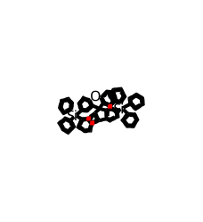 c1ccc([Si](c2ccccc2)(c2ccccc2)c2ccc3c(c2)C2(c4ccccc4O3)c3ccccc3-c3ccc([Si](c4ccccc4)(c4ccccc4)c4ccccc4)cc32)cc1